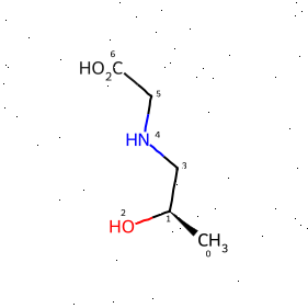 C[C@@H](O)CNCC(=O)O